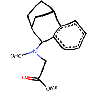 COC(=O)CN(C=O)C1c2ccccc2C2CCC1C2